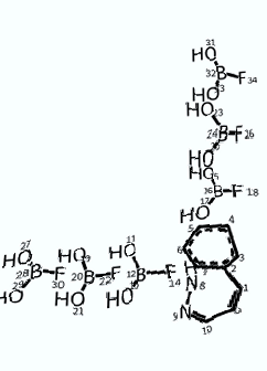 C1=Cc2ccccc2NN=C1.OB(O)F.OB(O)F.OB(O)F.OB(O)F.OB(O)F.OB(O)F